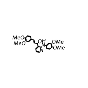 COc1ccc(C=CC(=O)c2cccnc2Nc2ccc(OC)c(OC)c2)cc1OC